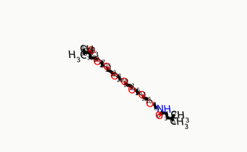 CC(C)CCC(=O)NCCOCCOCCOCCOCCOCCOCCOCCC(=O)C(C)C